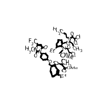 C=CCN(CC=C)C(=O)C(Cl)Cl.CCc1ccc(COc2ccc(-n3c(=O)cc(C(F)(F)F)n(C)c3=O)cc2)c(OC(C)C(=O)OC)c1.CCc1cccc(CC)c1N(COC)C(=O)CCl